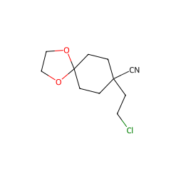 N#CC1(CCCl)CCC2(CC1)OCCO2